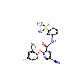 Cc1cc(F)ccc1Oc1ncc(C#N)cc1C(=O)Nc1cccc(S(C)(=N)=O)c1